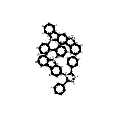 c1ccc(-c2nnc(-c3ccccc3)n2-c2ccc3c4ccccc4n(-c4ccccc4-c4ccccc4-n4c5ccccc5c5cc6oc7ccccc7c6cc54)c3c2)cc1